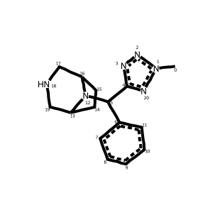 Cn1nnc(C(c2ccccc2)N2C3CCC2CNC3)n1